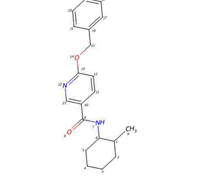 CC1CCCCC1NC(=O)c1ccc(OCc2ccccc2)nc1